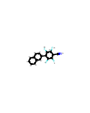 N#Cc1c(F)c(F)c(-c2ccc3ccccc3c2)c(F)c1F